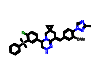 COc1cc(/C=C2\CC3(CC3)CN3C2=NNCC3c2ccc(F)c([Si](C)(C)c3ccccc3)c2)ccc1-n1cnc(C)n1